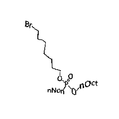 CCCCCCCCCP(=O)(OCCCCCCCC)OCCCCCCCBr